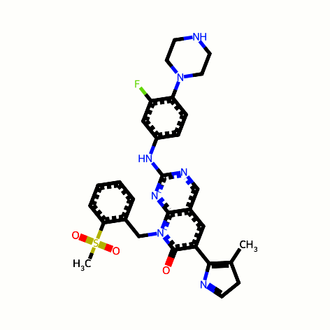 CC1=C(c2cc3cnc(Nc4ccc(N5CCNCC5)c(F)c4)nc3n(Cc3ccccc3S(C)(=O)=O)c2=O)N=CC1